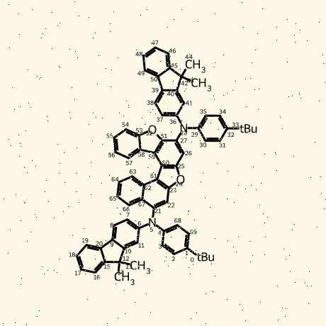 CC(C)(C)c1ccc(N(c2ccc3c(c2)C(C)(C)c2ccccc2-3)c2cc3oc4cc(N(c5ccc(C(C)(C)C)cc5)c5ccc6c(c5)C(C)(C)c5ccccc5-6)c5oc6ccccc6c5c4c3c3ccccc23)cc1